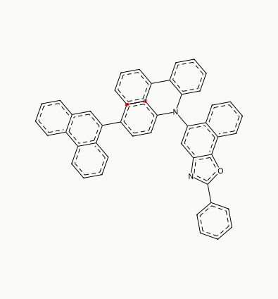 c1ccc(-c2nc3cc(N(c4ccc(-c5cc6ccccc6c6ccccc56)cc4)c4ccccc4-c4ccccc4)c4ccccc4c3o2)cc1